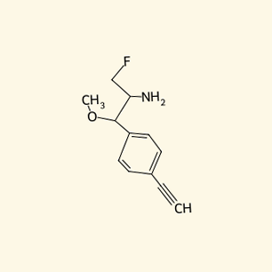 C#Cc1ccc(C(OC)C(N)CF)cc1